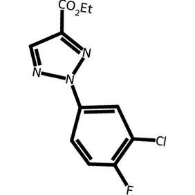 CCOC(=O)c1cnn(-c2ccc(F)c(Cl)c2)n1